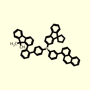 CC1(C)c2ccccc2-c2cccc(-c3ccccc3-c3ccc(N(c4cccc(-c5cccc6c5ccc5ccccc56)c4)c4ccc5c(c4)C4(CCCC4)c4ccccc4-5)cc3)c21